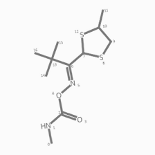 CNC(=O)ON=C(C1SCC(C)S1)C(C)(C)C